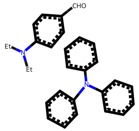 CCN(CC)c1ccc(C=O)cc1.c1ccc(N(c2ccccc2)c2ccccc2)cc1